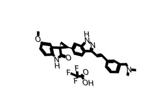 COc1ccc2c(c1)[C@]1(C[C@H]1c1ccc3c(C=Cc4cccc(CN(C)C)c4)n[nH]c3c1)C(=O)N2.O=C(O)C(F)(F)F